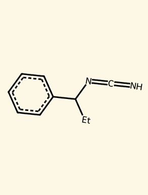 CCC(N=C=N)c1ccccc1